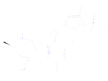 Cc1cc(Nc2nc(C[C@@]3(C(=O)O)CCN[C@H](C)C3)c(F)cc2F)nn1C(C)(C)C